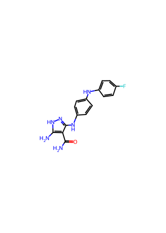 NC(=O)c1c(Nc2ccc(Nc3ccc(F)cc3)cc2)n[nH]c1N